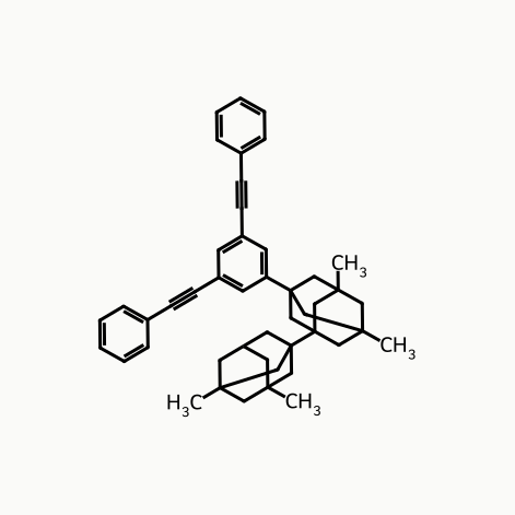 CC12CC3CC(C)(C1)CC(C14CC5(C)CC(C)(CC(c6cc(C#Cc7ccccc7)cc(C#Cc7ccccc7)c6)(C5)C1)C4)(C3)C2